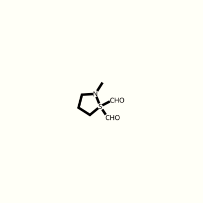 CN1CCCS1(C=O)C=O